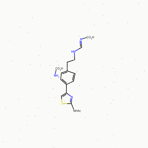 CC(=O)Nc1nc(-c2ccc(CCNC=NC(=O)O)cc2)cs1.NC(=O)O